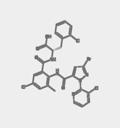 Cc1cc(Cl)cc(C(=O)N[C@@H](Cc2ccccc2Cl)C(=O)O)c1NC(=O)c1cc(Br)nn1-c1ncccc1Cl